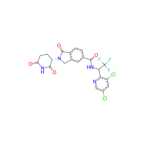 O=C1CC[C@H](N2Cc3cc(C(=O)NC(c4ncc(Cl)cc4Cl)C(F)(F)F)ccc3C2=O)C(=O)N1